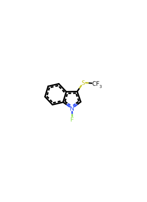 Fn1cc(SC(F)(F)F)c2ccccc21